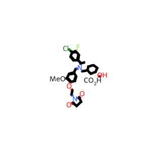 COc1cc(CN(CC2CCCCC2)C(C)c2ccc(Cl)c(F)c2)ccc1OCCN1C(=O)CCC1=O.O=C(O)O